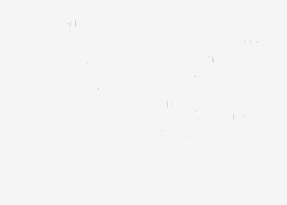 Cc1cc(C(O)(C(C)c2ccc(Oc3ccc(C(=O)O)cc3Cl)cc2Cl)C(F)(F)F)cn(C)c1=O